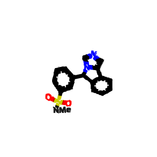 CNS(=O)(=O)c1cccc(C2c3ccccc3-c3cncn32)c1